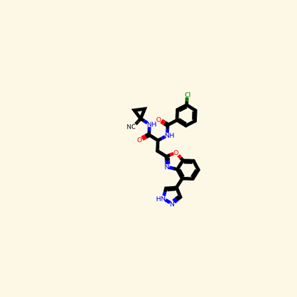 N#CC1(NC(=O)C(Cc2nc3c(-c4cn[nH]c4)cccc3o2)NC(=O)c2cccc(Cl)c2)CC1